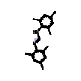 Cc1cc(C)c(/N=C/Nc2c(C)cc(C)cc2C)c(C)c1